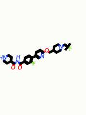 CC(C)(F)CN1CCC(COc2ccc(-c3ccc(C(=O)NC(=O)C4CCNCC4)cc3F)cn2)CC1